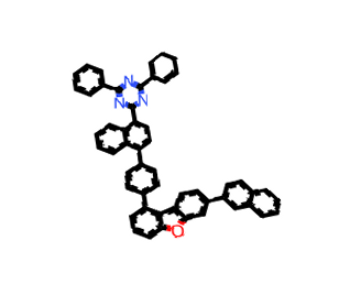 C1=CC(c2nc(-c3ccccc3)nc(-c3ccc(-c4ccc(-c5cccc6oc7cc(-c8ccc9ccccc9c8)ccc7c56)cc4)c4ccccc34)n2)=CCC1